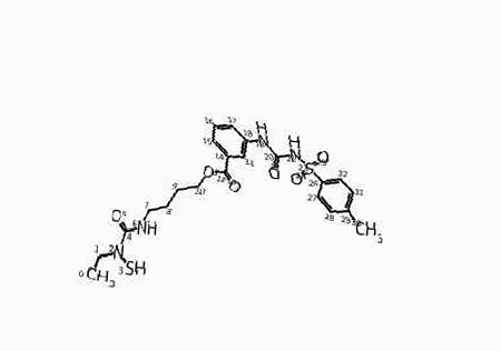 CCN(S)C(=O)NCCCCOC(=O)c1cccc(NC(=O)NS(=O)(=O)c2ccc(C)cc2)c1